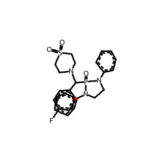 O=P1(C(c2ccc(F)cc2)N2CCS(=O)(=O)CC2)N(c2ccccc2)CCN1c1ccccc1